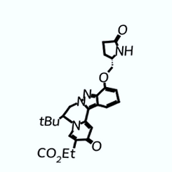 CCOC(=O)c1cn2c(cc1=O)-c1c3cccc(OC[C@@H]4CCC(=O)N4)c3nn1CC2C(C)(C)C